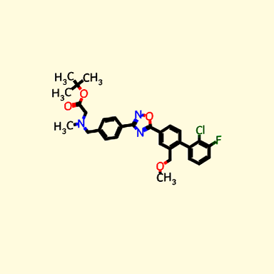 COCc1cc(-c2nc(-c3ccc(CN(C)CC(=O)OC(C)(C)C)cc3)no2)ccc1-c1cccc(F)c1Cl